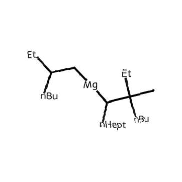 CCCCCCC[CH]([Mg][CH2]C(CC)CCCC)C(C)(CC)CCCC